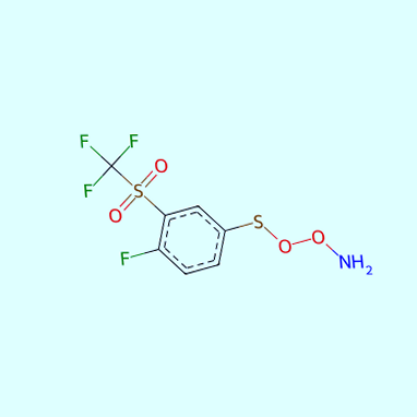 NOOSc1ccc(F)c(S(=O)(=O)C(F)(F)F)c1